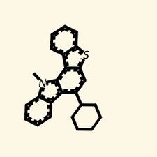 Cn1c2ccccc2c2c(C3CCCCC3)cc3sc4ccccc4c3c21